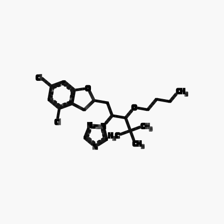 CCCCOC(C(CC1Cc2c(Cl)cc(Cl)cc2O1)n1cncn1)C(C)(C)C